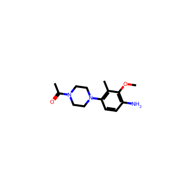 COc1c(N)ccc(N2CCN(C(C)=O)CC2)c1C